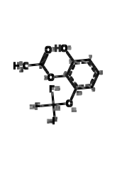 CC(=O)Oc1c(O)cccc1OC(F)(F)F